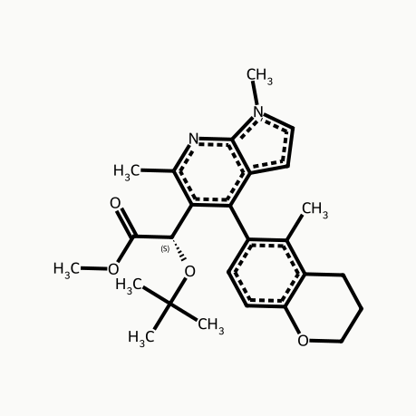 COC(=O)[C@@H](OC(C)(C)C)c1c(C)nc2c(ccn2C)c1-c1ccc2c(c1C)CCCO2